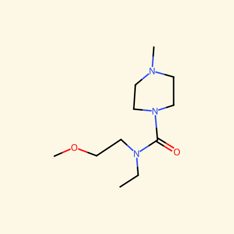 CCN(CCOC)C(=O)N1CCN(C)CC1